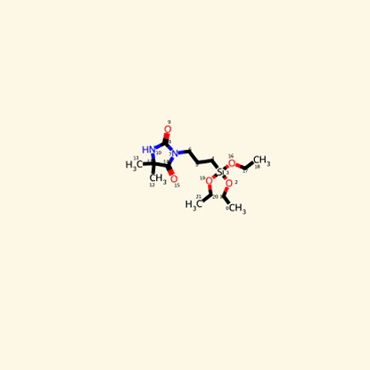 CCO[Si](CCCN1C(=O)NC(C)(C)C1=O)(OCC)OCC